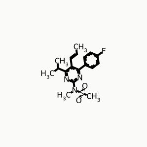 C/C=C/c1c(-c2ccc(F)cc2)nc(N(C)S(C)(=O)=O)nc1C(C)C